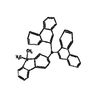 C[Si]1(C)c2ccccc2-c2ccc(N(c3cc4ccccc4c4ccccc34)c3cc4ccccc4c4ccccc34)cc21